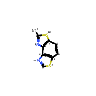 CCc1nc2c(ccc3scnc32)s1